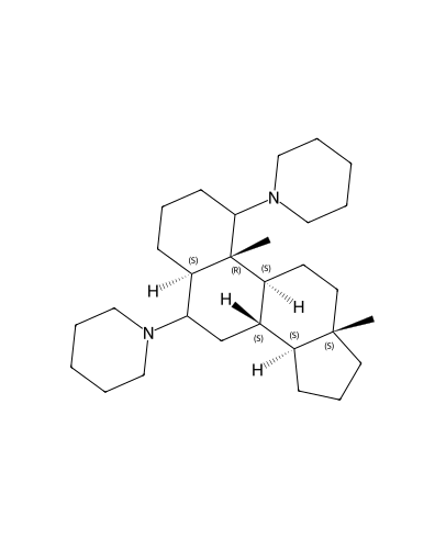 C[C@@]12CCC[C@H]1[C@@H]1CC(N3CCCCC3)[C@H]3CCCC(N4CCCCC4)[C@]3(C)[C@H]1CC2